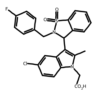 Cc1c(C2c3ccccc3S(=O)(=O)N2Cc2ccc(F)cc2)c2cc(Cl)ccc2n1CC(=O)O